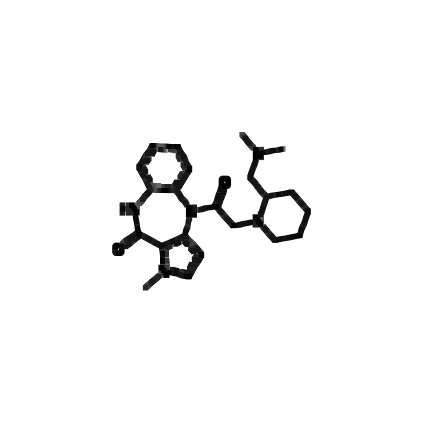 CN(C)CC1CCCCN1CC(=O)N1c2ccccc2NC(=O)c2c1ccn2C